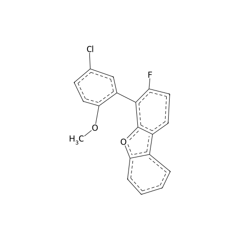 COc1ccc(Cl)cc1-c1c(F)ccc2c1oc1ccccc12